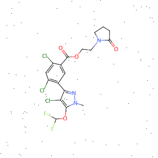 Cn1nc(-c2cc(C(=O)OCCN3CCCC3=O)c(Cl)cc2Cl)c(Cl)c1OC(F)F